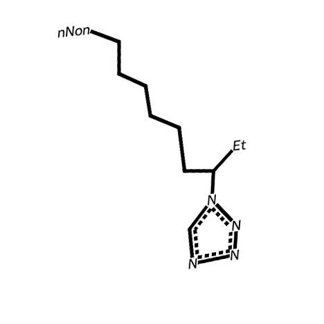 CCCCCCCCCCCCCCCC(CC)n1cnnn1